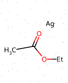 CCOC(C)=O.[Ag]